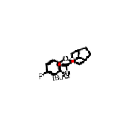 CC(C)(C)OC(=O)N1CC2CCC(C1)C2COc1ccc(F)cc1Cl